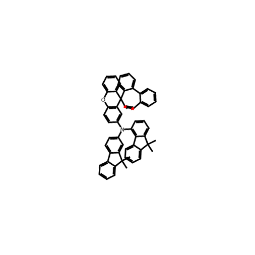 CC1(C)c2ccccc2-c2ccc(N(c3ccc4c(c3)C3(c5ccccc5O4)c4ccccc4-c4ccccc4-c4ccccc43)c3cccc4c3-c3ccccc3C4(C)C)cc21